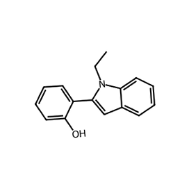 CCn1c(-c2ccccc2O)cc2ccccc21